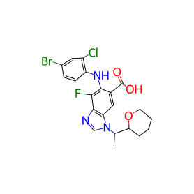 CC(C1CCCCO1)n1cnc2c(F)c(Nc3ccc(Br)cc3Cl)c(C(=O)O)cc21